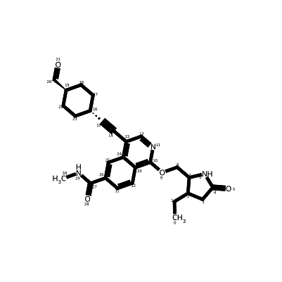 CCC1CC(=O)NC1COc1ncc(C#C[C@H]2CC[C@H](C=O)CC2)c2cc(C(=O)NC)ccc12